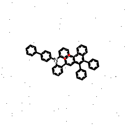 c1ccc(-c2ccc(N(c3ccccc3)c3ccccc3-c3ccc4c(c3)c(-c3ccccc3)c(-c3ccccc3)c3ccccc34)cc2)cc1